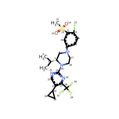 CC(C)[C@@H]1CN(c2ccc(F)c(S(C)(=O)=O)c2)CCN1c1ncc(C2CC2)c(C(F)(F)F)n1